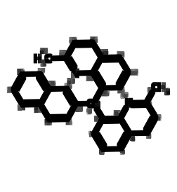 Cc1ccc2ccc[c]([Ga]([c]3ccc4ccccc4c3)[c]3cccc4ccc(C)nc34)c2n1